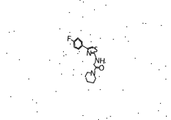 O=C(CNc1nc(-c2ccc(F)cc2)cs1)N1CCCCC1